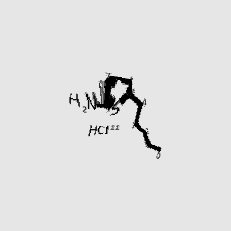 CCCCCc1ccc(N)s1.Cl